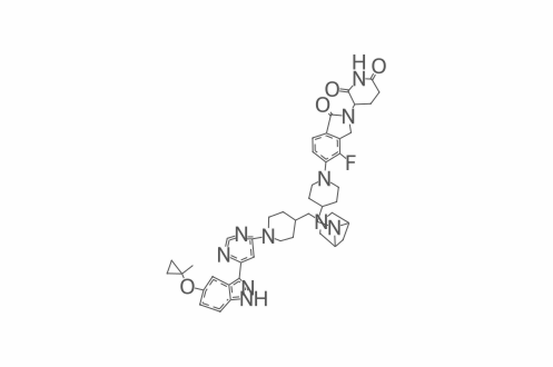 CC1(Oc2ccc3[nH]nc(-c4cc(N5CCC(CN6CC7CC(C6)N7CC6CCN(c7ccc8c(c7F)CN(C7CCC(=O)NC7=O)C8=O)CC6)CC5)ncn4)c3c2)CC1